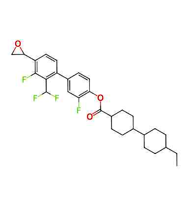 CCC1CCC(C2CCC(C(=O)Oc3ccc(-c4ccc(C5CO5)c(F)c4C(F)F)cc3F)CC2)CC1